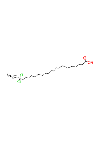 C[Si](Cl)(Cl)CCCCCCCCCCCCCCCCCCCC(=O)O